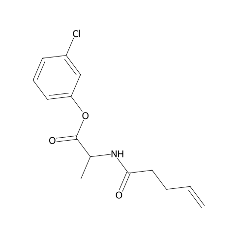 C=CCCC(=O)NC(C)C(=O)Oc1cccc(Cl)c1